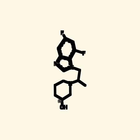 CC(Cn1cnc2cc(F)cc(F)c21)N1CCC[C@H](O)C1